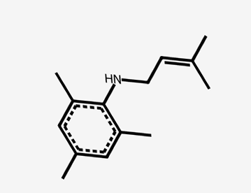 CC(C)=CCNc1c(C)cc(C)cc1C